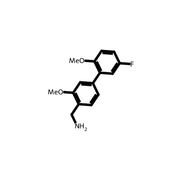 COc1cc(-c2cc(F)ccc2OC)ccc1CN